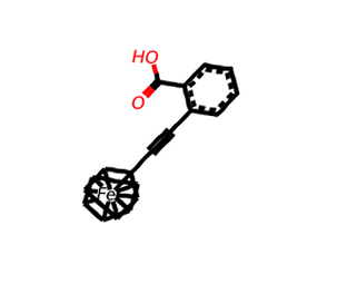 O=C(O)c1ccccc1C#C[C]12[CH]3[CH]4[CH]5[CH]1[Fe]45321678[CH]2[CH]1[CH]6[CH]7[CH]28